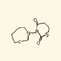 O=C1CCSC(=O)N1N1CCCCCC1